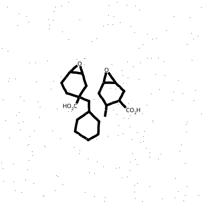 CC1CC2OC2CC1C(=O)O.O=C(O)C1(CC2CCCCC2)CCC2OC2C1